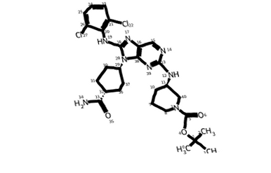 CC(C)(C)OC(=O)N1CCC[C@@H](Nc2ncc3nc(Nc4c(Cl)cccc4Cl)n([C@H]4CC[C@@H](C(N)=O)CC4)c3n2)C1